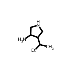 CCC(C)C1CNCC1N